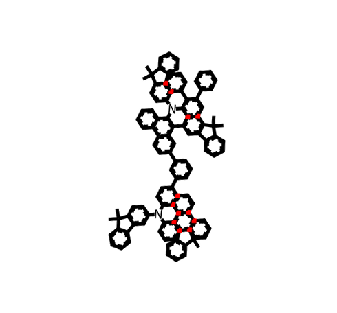 CC1(C)c2ccccc2-c2cc(-c3cc(-c4cccc(-c5ccc6c(c5)c(-c5ccc7c(c5)-c5ccccc5C7(C)C)c(N(c5ccc7c(c5)-c5ccccc5C7(C)C)c5cccc(-c7ccccc7)c5-c5ccccc5)c5ccccc56)c4)ccc3N(c3ccc4c(c3)-c3ccccc3C4(C)C)c3cccc(-c4ccccc4)c3-c3ccccc3)ccc21